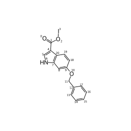 O=C(OI)c1c[nH]c2cc(OCc3ccccc3)ccc12